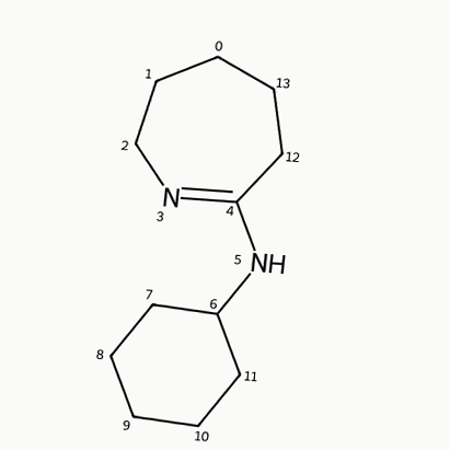 C1CCN=C(NC2CCCCC2)CC1